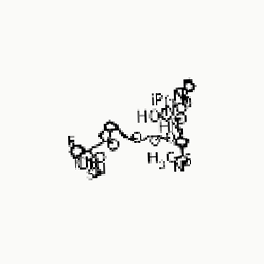 Cc1ncsc1-c1ccc(CNC(=O)[C@@H]2C[C@@H](O)CN2C(=O)[C@H](C(C)C)N2Cc3ccccc3C2=O)c(OCCOCCOCC#Cc2cccc3c2C(=O)C(CCC(C(=O)Nc2nccs2)c2cc(F)ccc2O)C3)c1